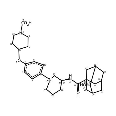 O=C(O)N1CCC(Oc2ccc(N3CCC[C@H](NC(=O)C45CC6CC(C4)C(O)C(C6)C5)C3)cc2)CC1